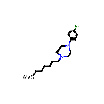 COCCCCCCN1CCN(c2ccc(Br)cc2)CC1